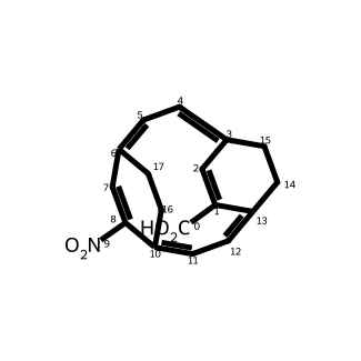 O=C(O)C1=CC2=CC=C3C=C([N+](=O)[O-])C(=CC=C1CC2)CC3